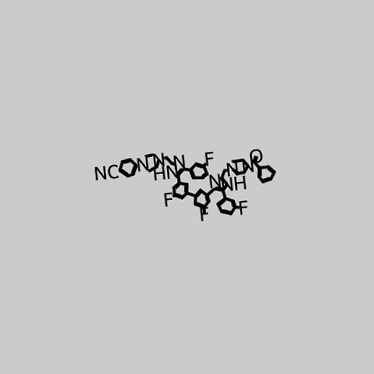 N#Cc1ccc(N2CCN(Cc3nc(-c4cccc(F)c4)c(-c4cc(F)cc(-c5cc(F)cc(-c6nc(CN7CCN(C(=O)c8ccccc8)CC7)[nH]c6-c6cccc(F)c6)c5)c4)[nH]3)CC2)cc1